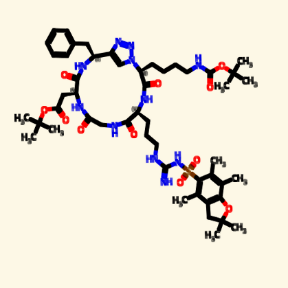 Cc1c(C)c(S(=O)(=O)NC(=N)NCCC[C@@H]2NC(=O)[C@H](CCCCNC(=O)OC(C)(C)C)n3cc(nn3)[C@H](Cc3ccccc3)NC(=O)[C@H](CC(=O)OC(C)(C)C)NC(=O)CNC2=O)c(C)c2c1OC(C)(C)C2